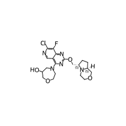 OC1COCCN(c2nc(OC[C@@H]3CC[C@H]4COCCN43)nc3c(F)c(Cl)ncc23)C1